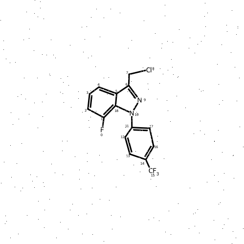 Fc1cccc2c(CCl)nn(-c3ccc(C(F)(F)F)cc3)c12